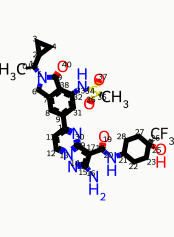 C[C@@H](C1CC1)N1Cc2cc(-c3ccn4nc(N)c(C(=O)NC5CCC(O)(C(F)(F)F)CC5)c4n3)cc(NS(C)(=O)=O)c2C1=O